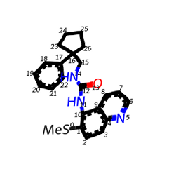 CSc1ccc2ncccc2c1NC(=O)NCC1(c2ccccc2)CCCC1